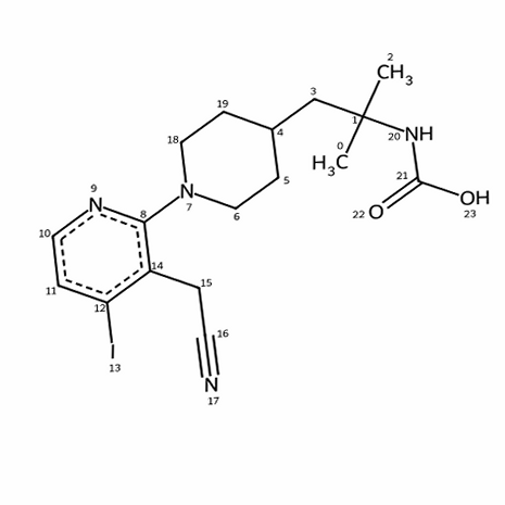 CC(C)(CC1CCN(c2nccc(I)c2CC#N)CC1)NC(=O)O